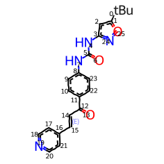 CC(C)(C)c1cc(NC(=O)Nc2ccc(C(=O)/C=C/c3ccncc3)cc2)no1